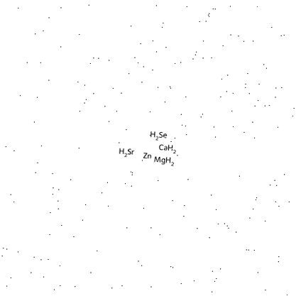 [CaH2].[MgH2].[SeH2].[SrH2].[Zn]